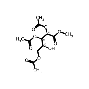 COC(=O)[C@H](OC(C)=O)[C@H](OC(C)=O)[C@@H](O)COC(C)=O